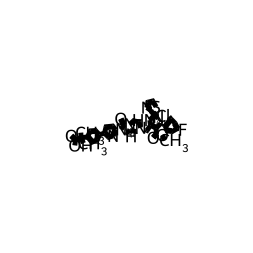 COC(=O)C1=C(CN2CCN3C(=O)N(c4ccc(-c5ccc(C(C)(C)C(=O)O)cc5)cn4)C[C@@H]3C2)NC(c2nccs2)=N[C@H]1c1ccc(F)cc1Cl